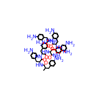 CC(Cc1ccc(N)cc1)C(=O)NC(Cc1ccc(N)cc1)C(=O)NC(Cc1ccc(N)cc1)C(=O)NC(Cc1ccc(N)cc1)C(=O)NC(Cc1ccc(N)cc1)C(=O)NC(Cc1ccc(N)cc1)C(=O)NC(Cc1ccc(N)cc1)C(N)=O